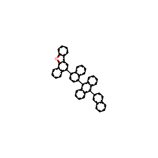 c1ccc2cc(-c3c4ccccc4c(-c4ccc(-c5cc6c7ccccc7oc6c6ccccc56)c5ccccc45)c4ccccc34)ccc2c1